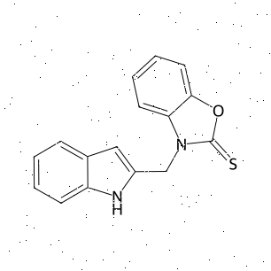 S=c1oc2ccccc2n1Cc1cc2ccccc2[nH]1